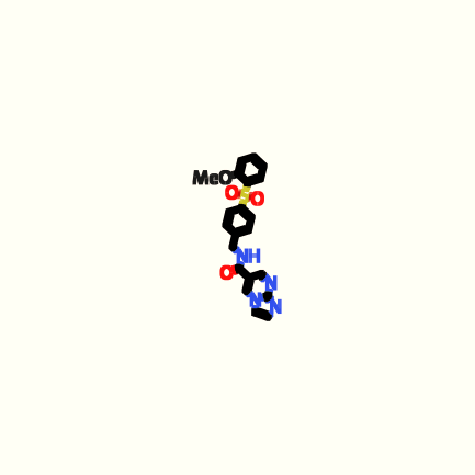 COc1ccccc1S(=O)(=O)c1ccc(CNC(=O)c2cnc3nccn3c2)cc1